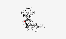 FC(Oc1cccn2nc(N[C@@H]3[C@@H]4CC[C@H]3CN(c3ccnc(C(F)(F)F)c3)C4)nc12)C(F)(F)F